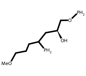 COCCCC(P)C[C@H](O)COP